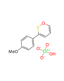 COc1ccc(C2=CC=COS2)cc1.[O-][Cl+3]([O-])([O-])O